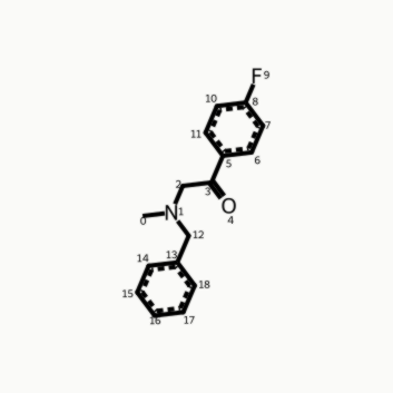 CN(CC(=O)c1ccc(F)cc1)Cc1ccccc1